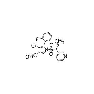 C=CC(c1cccnc1)S(=O)(=O)n1cc(C=O)c(Cl)c1-c1ccccc1F